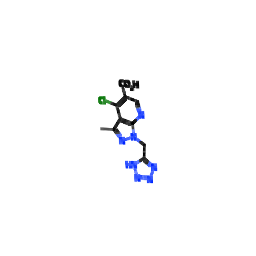 Cc1nn(Cc2nnn[nH]2)c2ncc(C(=O)O)c(Cl)c12